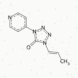 C/C=C/n1nnn(-c2ccncc2)c1=O